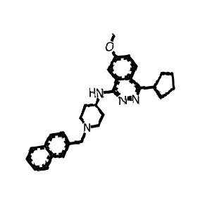 COc1ccc2c(C3CCCC3)nnc(NC3CCN(Cc4ccc5ccccc5c4)CC3)c2c1